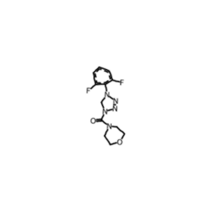 O=C(N1CCOCC1)N1CN(c2c(F)cccc2F)N=N1